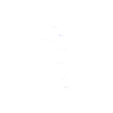 CCCCNC(=O)c1ccc(/C=C/C(C)C)cc1